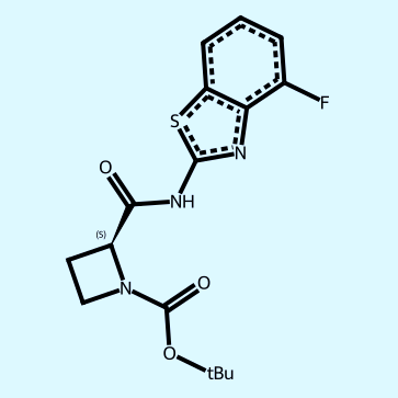 CC(C)(C)OC(=O)N1CC[C@H]1C(=O)Nc1nc2c(F)cccc2s1